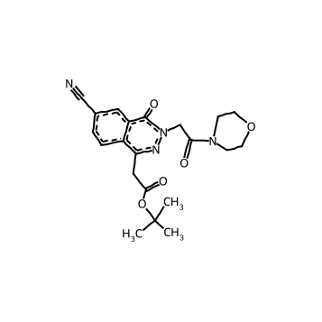 CC(C)(C)OC(=O)Cc1nn(CC(=O)N2CCOCC2)c(=O)c2cc(C#N)ccc12